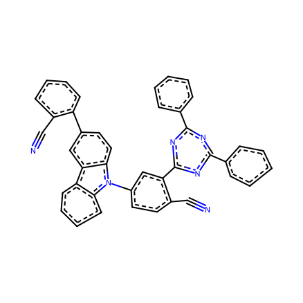 N#Cc1ccccc1-c1ccc2c(c1)c1ccccc1n2-c1ccc(C#N)c(-c2nc(-c3ccccc3)nc(-c3ccccc3)n2)c1